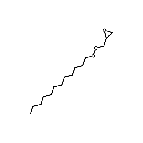 CCCCCCCCCCCCOOCC1CO1